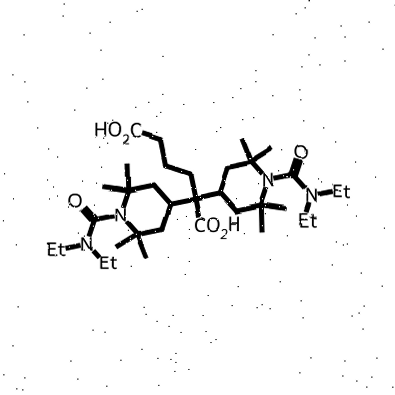 CCN(CC)C(=O)N1C(C)(C)CC(C(CCCC(=O)O)(C(=O)O)C2CC(C)(C)N(C(=O)N(CC)CC)C(C)(C)C2)CC1(C)C